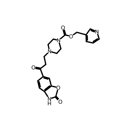 O=C(CCN1CCN(C(=O)OCc2cccnc2)CC1)c1ccc2[nH]c(=O)oc2c1